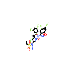 CCS(=O)(=O)N[C@@H]1CN2C(=O)N(c3noc4cc(F)c(F)c(-c5c(F)cc(F)cc5F)c34)CC[C@@H]2C1(F)F